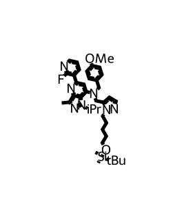 COc1ccc(CN(Cc2ccnn2CCCCCO[Si](C)(C)C(C)(C)C)c2cc(-c3cccnc3F)nc3c(C)nn(C(C)C)c23)cc1